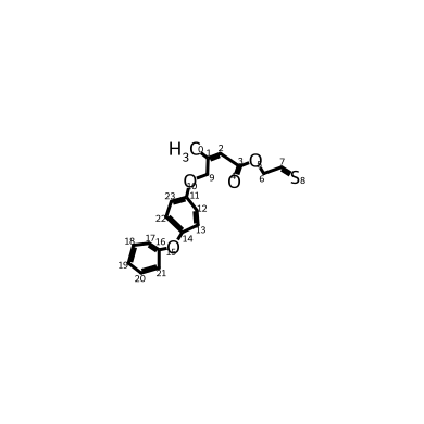 C/C(=C/C(=O)OCC=S)COc1ccc(Oc2ccccc2)cc1